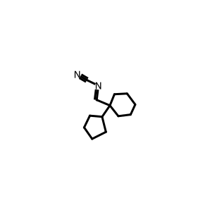 N#CN=CC1(C2CCCC2)CCCCC1